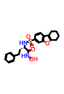 O=C(NO)[C@H](CCc1ccccc1)NS(=O)(=O)c1ccc2c3c(oc2c1)CCCC3